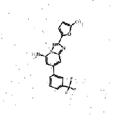 Cc1ccc(-c2nc3cc(-c4cccc(C(F)(F)F)c4)cc(N)n3n2)o1